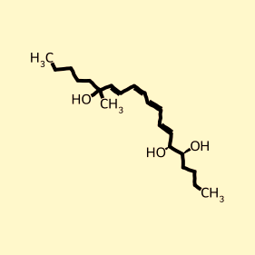 CCCCCC(C)(O)/C=C/C=C\C=C\C=C\[C@@H](O)[C@@H](O)CCCC